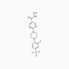 O=C(NO)c1cnc(N2CCN(c3ccc(C(F)(F)F)cc3F)CC2)nc1